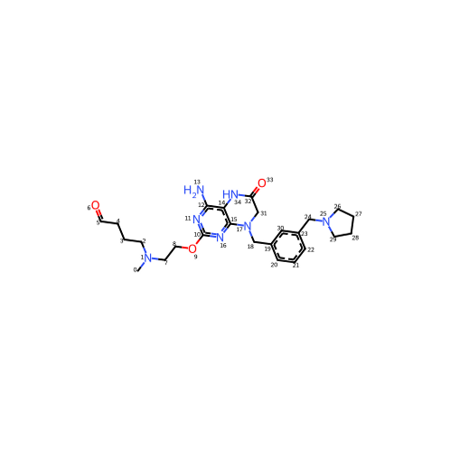 CN(CCCC=O)CCOc1nc(N)c2c(n1)N(Cc1cccc(CN3CCCC3)c1)CC(=O)N2